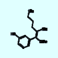 CO/C(=C(/CCCC(C)(C)C)C(C)(C)C)c1cccc(O)c1